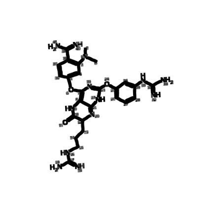 CN(C)c1cc(OC2=C3NC(=O)C(CCCNC(=N)N)N=C3NC(Oc3cccc(NC(=N)N)c3)=N2)ccc1C(=N)N